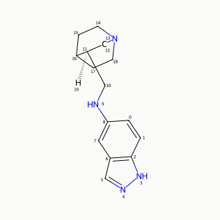 c1cc2[nH]ncc2cc1NC[C@@H]1CN2CCC1CC2